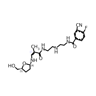 C/C(=C/N[C@H]1CC[C@@H](CO)O1)C(=O)NCCNCCNC(=O)c1ccc(F)c(C#N)c1